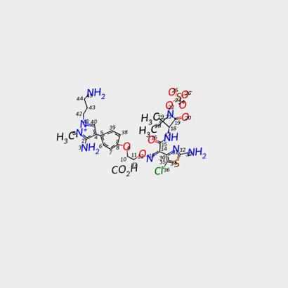 C[n+]1c(N)c(-c2ccc(OC[C@H](O/N=C(\C(=O)N[C@@H]3C(=O)N(OS(=O)(=O)[O-])C3(C)C)c3nc(N)sc3Cl)C(=O)O)cc2)cn1CCCN